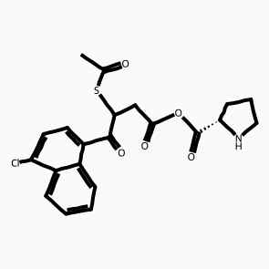 CC(=O)SC(CC(=O)OC(=O)[C@@H]1CCCN1)C(=O)c1ccc(Cl)c2ccccc12